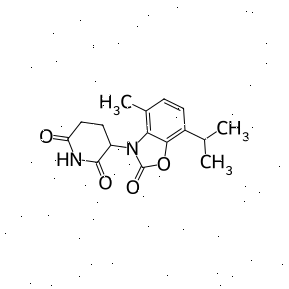 Cc1ccc(C(C)C)c2oc(=O)n(C3CCC(=O)NC3=O)c12